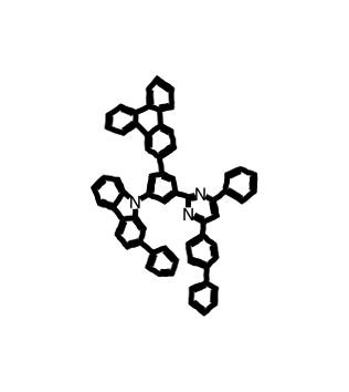 c1ccc(-c2ccc(-c3cc(-c4ccccc4)nc(-c4cc(-c5ccc6c7ccccc7c7ccccc7c6c5)cc(-n5c6ccccc6c6ccc(-c7ccccc7)cc65)c4)n3)cc2)cc1